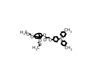 COCOC12CC3CC(OCOC)(C1)CC(OC(=O)COc1ccc([S+](c4ccc(C)cc4)c4ccc(C)cc4)cc1)(C3)C2